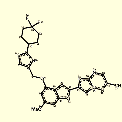 COc1cc(OCc2csc(C3CCC(F)(F)CC3)n2)c2cc(-c3cn4nc(C)cnc4n3)oc2c1